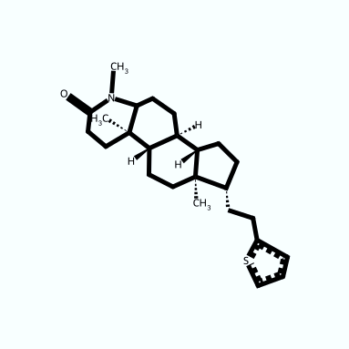 CN1C(=O)CC[C@@]2(C)C1CC[C@H]1[C@@H]3CC[C@H](CCc4cccs4)[C@@]3(C)CC[C@@H]12